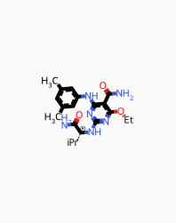 CCOc1nc(N[C@@H](C(N)=O)C(C)C)nc(Nc2cc(C)cc(C)c2)c1C(N)=O